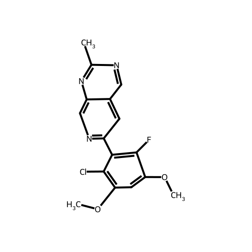 COc1cc(OC)c(Cl)c(-c2cc3cnc(C)nc3cn2)c1F